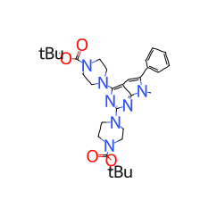 Cn1c(-c2ccccc2)cc2c(N3CCN(C(=O)OC(C)(C)C)CC3)nc(N3CCN(C(=O)OC(C)(C)C)CC3)nc21